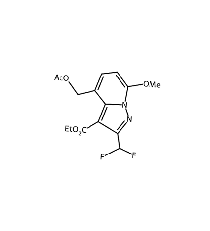 CCOC(=O)c1c(C(F)F)nn2c(OC)ccc(COC(C)=O)c12